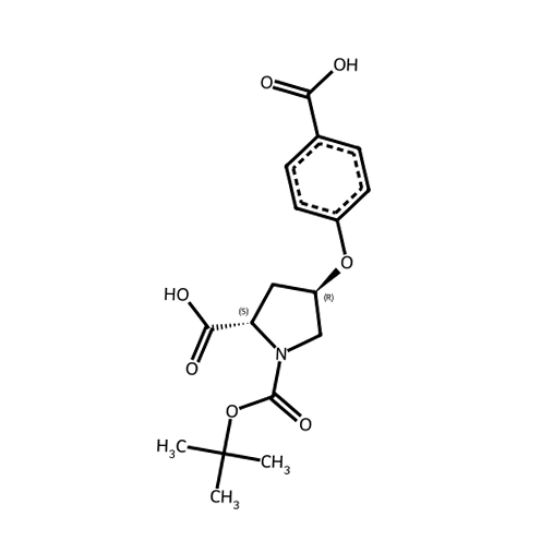 CC(C)(C)OC(=O)N1C[C@H](Oc2ccc(C(=O)O)cc2)C[C@H]1C(=O)O